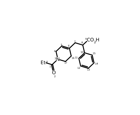 CCC(=O)N1CC=C(CC(C(=O)O)c2ccccc2)CC1